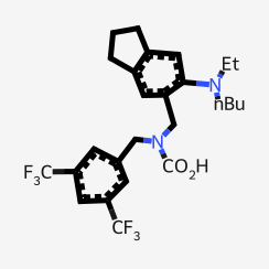 CCCCN(CC)c1cc2c(cc1CN(Cc1cc(C(F)(F)F)cc(C(F)(F)F)c1)C(=O)O)CCC2